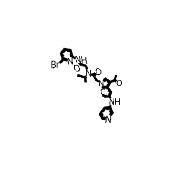 CC(=O)c1cn(CC(=O)N(CC(=O)Nc2cccc(Br)n2)C(C)C)c2ccc(Nc3cccnc3)cc12